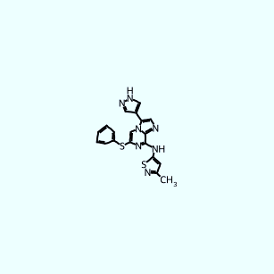 Cc1cc(Nc2nc(Sc3ccccc3)cn3c(-c4cn[nH]c4)cnc23)sn1